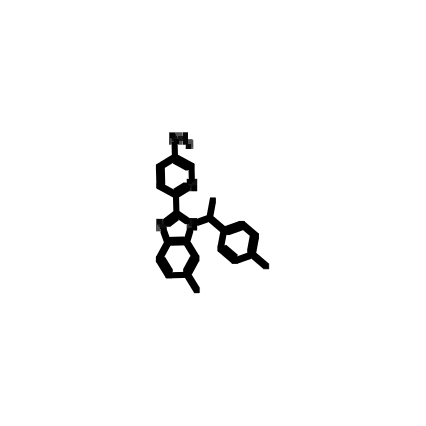 Cc1ccc(C(C)n2c(-c3ccc(N)cn3)nc3ccc(C)cc32)cc1